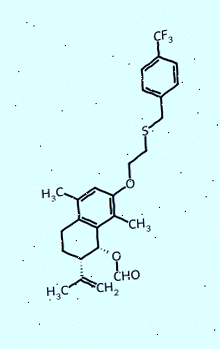 C=C(C)[C@@H]1CCc2c(C)cc(OCCSCc3ccc(C(F)(F)F)cc3)c(C)c2[C@@H]1OC=O